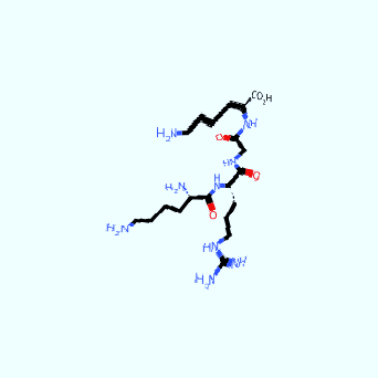 N=C(N)NCCC[C@H](NC(=O)[C@@H](N)CCCCN)C(=O)NCC(=O)N[C@@H](CCCCN)C(=O)O